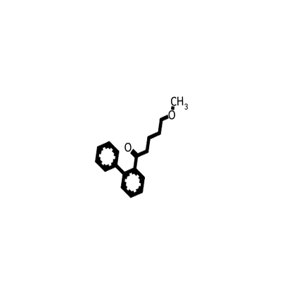 COCCCCC(=O)c1ccccc1-c1ccccc1